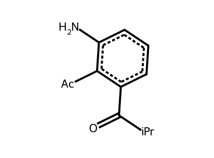 CC(=O)c1c(N)cccc1C(=O)C(C)C